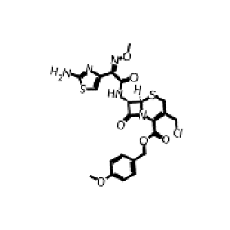 CO/N=C(\C(=O)N[C@@H]1C(=O)N2C(C(=O)OCc3ccc(OC)cc3)=C(CCl)CS[C@H]12)c1csc(N)n1